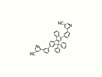 N#Cc1cncc(-c2cccc(-c3ccc4c(c3)C(c3ccccc3)(c3ccccc3)c3cc(-c5cccc(-c6cncc(C#N)c6)c5)c5ccccc5c3-4)c2)c1